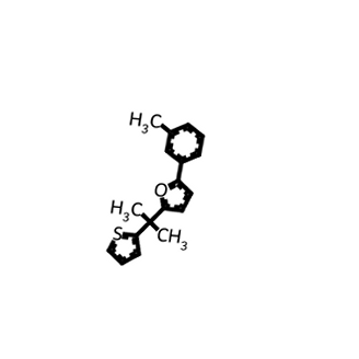 Cc1cccc(-c2ccc(C(C)(C)c3cccs3)o2)c1